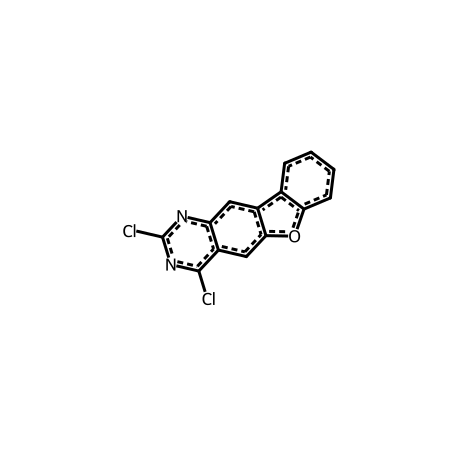 Clc1nc(Cl)c2cc3oc4ccccc4c3cc2n1